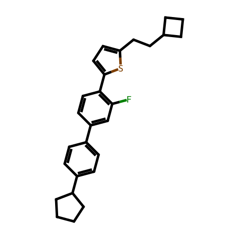 Fc1cc(-c2ccc(C3CCCC3)cc2)ccc1-c1ccc(CCC2CCC2)s1